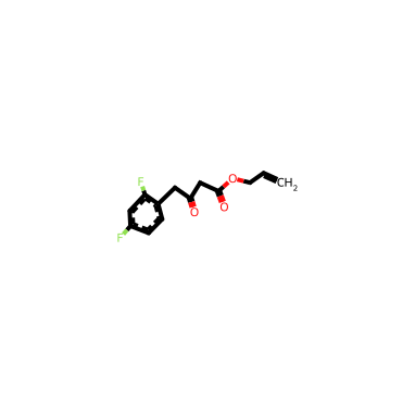 C=CCOC(=O)CC(=O)Cc1ccc(F)cc1F